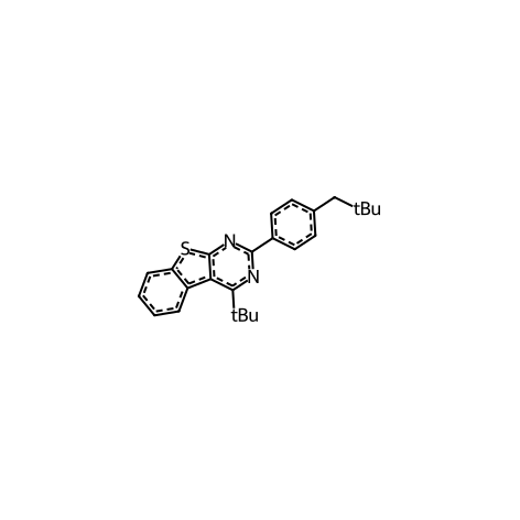 CC(C)(C)Cc1ccc(-c2nc(C(C)(C)C)c3c(n2)sc2ccccc23)cc1